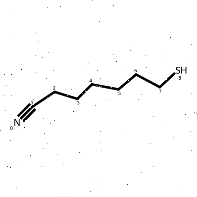 N#CCCCCCCS